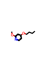 CCCCOc1ccnc(OC)c1